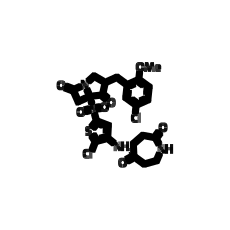 COc1ccc(Cl)cc1CC1CN2C(=O)CC2(S(=O)(=O)c2cc(N)c(Cl)s2)C1=O.O=C1CCNC(=O)CC1